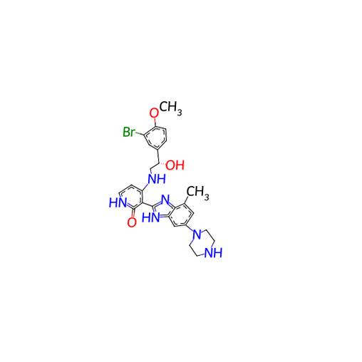 COc1ccc([C@H](O)CNc2cc[nH]c(=O)c2-c2nc3c(C)cc(N4CCNCC4)cc3[nH]2)cc1Br